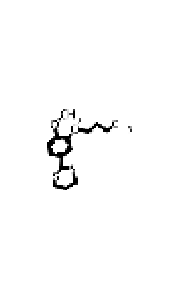 CCCCOc1cc(C2SCCCS2)ccc1OC